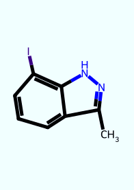 Cc1n[nH]c2c(I)cccc12